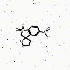 O=[N+]([O-])c1ccc2c(c1)C1(CCCO1)CS2(=O)=O